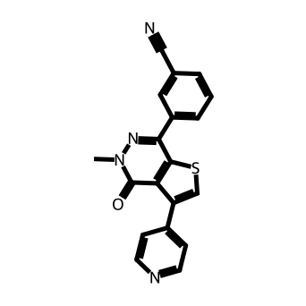 Cn1nc(-c2cccc(C#N)c2)c2scc(-c3ccncc3)c2c1=O